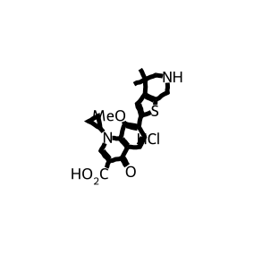 COc1c(-c2cc3c(s2)CNCC3(C)C)ccc2c(=O)c(C(=O)O)cn(C3CC3)c12.Cl